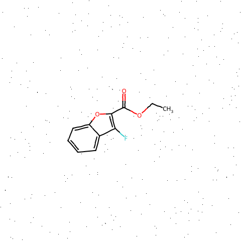 CCOC(=O)c1oc2ccccc2c1F